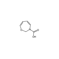 O=C(O)N1C=CC=COC1